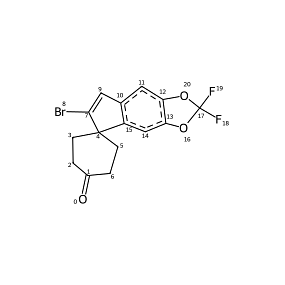 O=C1CCC2(CC1)C(Br)=Cc1cc3c(cc12)OC(F)(F)O3